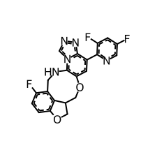 Fc1cnc(-c2cc3c(n4cnnc24)NCc2c(F)ccc4c2C(CO4)CO3)c(F)c1